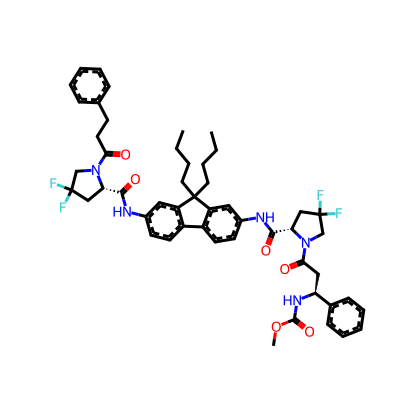 CCCCC1(CCCC)c2cc(NC(=O)[C@@H]3CC(F)(F)CN3C(=O)CCc3ccccc3)ccc2-c2ccc(NC(=O)[C@@H]3CC(F)(F)CN3C(=O)C[C@H](NC(=O)OC)c3ccccc3)cc21